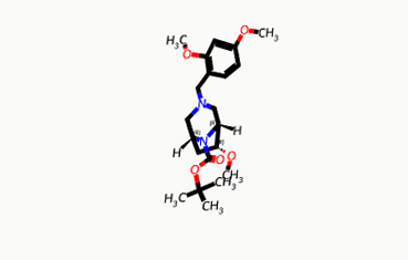 COc1ccc(CN2C[C@H]3C[C@@H](OC)[C@@H](C2)N3C(=O)OC(C)(C)C)c(OC)c1